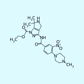 CCOC(=O)n1nc(NC(=O)c2ccc(N3CCN(C)CC3)c([N+](=O)[O-])c2)c2c1C(C)(C)NC2